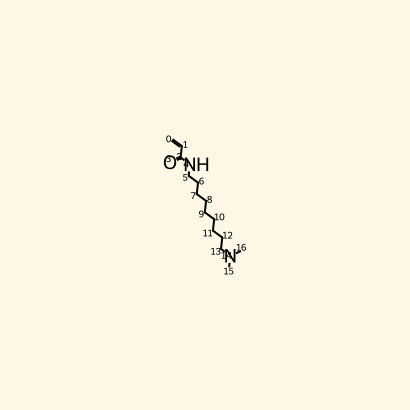 C=CC(=O)NCCCCCCCCCN(C)C